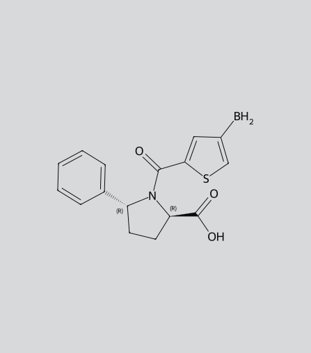 Bc1csc(C(=O)N2[C@@H](C(=O)O)CC[C@@H]2c2ccccc2)c1